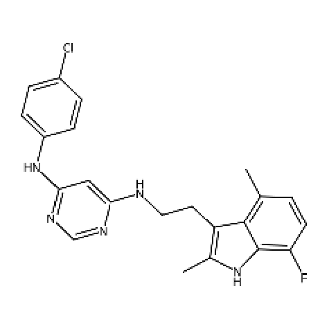 Cc1[nH]c2c(F)ccc(C)c2c1CCNc1cc(Nc2ccc(Cl)cc2)ncn1